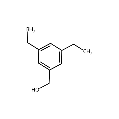 BCc1cc(CC)cc(CO)c1